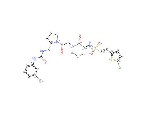 O=C(NC[C@@H]1CCCN1C(=O)CN1CCC[C@H](NS(=O)(=O)/C=C/c2ccc(Cl)s2)C1=O)Nc1cccc(C(F)(F)F)c1